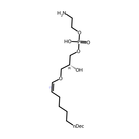 CCCCCCCCCCCCCC/C=C\OC[C@@H](O)COP(=O)(O)OCCN